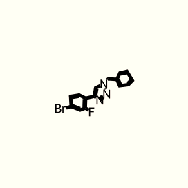 Fc1cc(Br)ccc1-c1cn(Cc2ccccc2)nn1